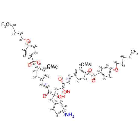 COc1cc(/C=C/C(=O)C(O)CC(O)(Cc2ccc(N)cc2)C(=O)/C=C/c2ccc(OC(=O)c3ccc(OCCCCC(F)(F)F)cc3)c(OC)c2)ccc1OC(=O)c1ccc(OCCCCC(F)(F)F)cc1